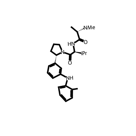 CN[C@@H](C)C(=O)N[C@H](C(=O)N1CCC[C@H]1c1cccc(Nc2ccccc2C)c1)C(C)C